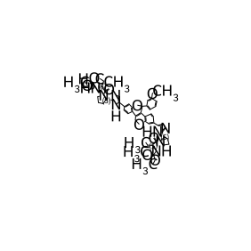 COC(=O)N[C@H](C(=O)N1CCC[C@H]1c1ncc(-c2ccc3c(c2)OC(c2cccc(OC)c2)C2=C3COc3cc(-c4cnc([C@@H]5CCCN5C(=O)[C@@H](NC(=O)OC)C(C)C)[nH]4)ccc32)[nH]1)C(C)C